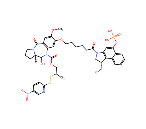 COc1cc2c(cc1OCCCCCC(=O)N1C[C@@H](CCl)c3c1cc(OP(=O)(O)O)c1ccccc31)N(C(=O)OCC(C)SSc1ccc([N+](=O)[O-])cn1)C(O)[C@@H]1CCCN1C2=O